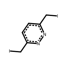 ICc1ccc(CI)nn1